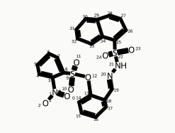 O=[N+]([O-])c1ccccc1S(=O)(=O)Oc1ccccc1/C=N/NS(=O)(=O)c1cccc2ccccc12